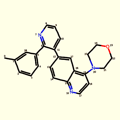 Cc1cccc(-c2ncccc2-c2ccc3nccc(N4CCOCC4)c3c2)c1